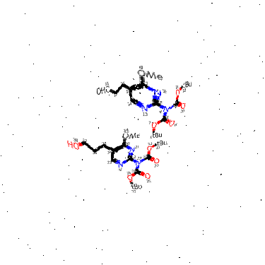 COc1nc(N(C(=O)OC(C)(C)C)C(=O)OC(C)(C)C)ncc1CCC=O.COc1nc(N(C(=O)OC(C)(C)C)C(=O)OC(C)(C)C)ncc1CCCO